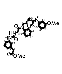 COC(=O)Cc1cccc(NC(=O)NCC(=O)N(CCC(C)C)c2ccccc2OCC(=O)N(C)c2cccc(OC)c2)c1